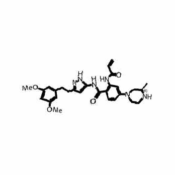 C=CC(=O)Nc1cc(N2CCN[C@H](C)C2)ccc1C(=O)Nc1cc(CCc2cc(OC)cc(OC)c2)n[nH]1